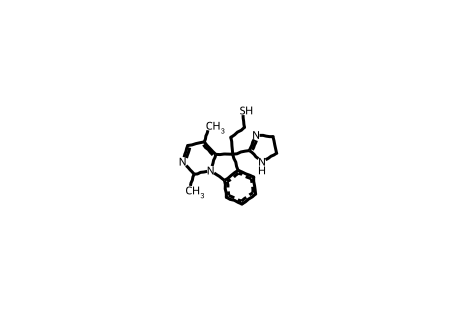 CC1=C2N(c3ccccc3C2(CCS)C2=NCCN2)C(C)N=C1